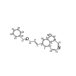 C(=Cc1cc2c3c(coc3c1)C=NC=C2)COCc1ccccc1